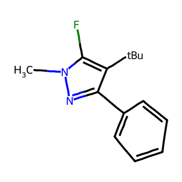 Cn1nc(-c2ccccc2)c(C(C)(C)C)c1F